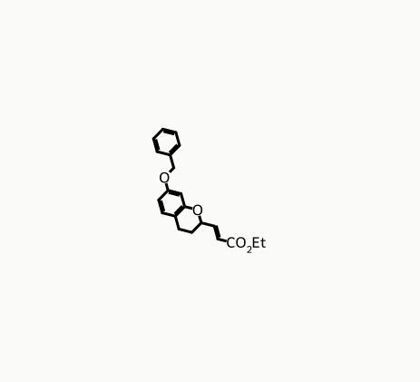 CCOC(=O)C=CC1CCc2ccc(OCc3ccccc3)cc2O1